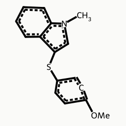 COc1ccc(Sc2cn(C)c3ccccc23)cc1